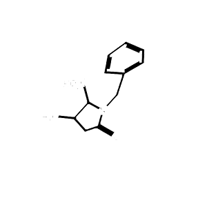 CC1CC(=O)N(Cc2ccccc2)C1C(=O)O